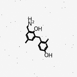 Cc1cc(CN)c(O)c(Cc2ccc(O)cc2C)c1